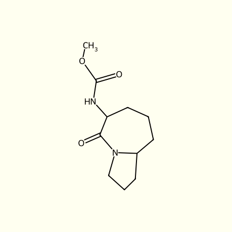 COC(=O)NC1CCCC2CCCN2C1=O